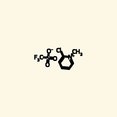 C[n+]1ccccc1Cl.O=S(=O)([O-])C(F)(F)F